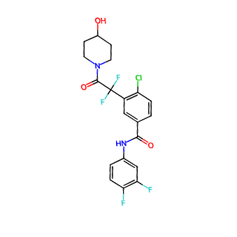 O=C(Nc1ccc(F)c(F)c1)c1ccc(Cl)c(C(F)(F)C(=O)N2CCC(O)CC2)c1